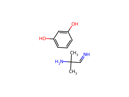 CC(C)(N)C=N.Oc1cccc(O)c1